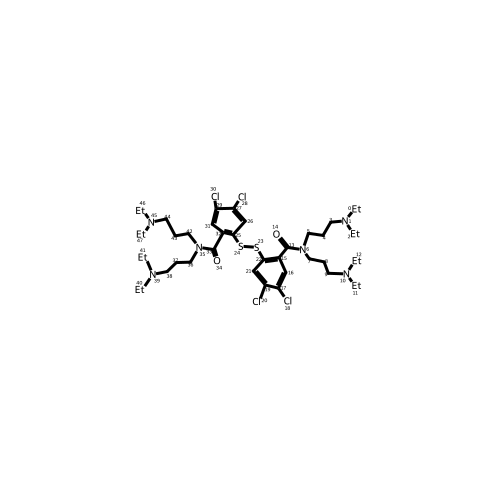 CCN(CC)CCCN(CCCN(CC)CC)C(=O)c1cc(Cl)c(Cl)cc1SSc1cc(Cl)c(Cl)cc1C(=O)N(CCCN(CC)CC)CCCN(CC)CC